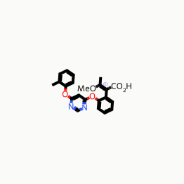 CO/C(C)=C(/C(=O)O)c1ccccc1Oc1cc(Oc2ccccc2C)ncn1